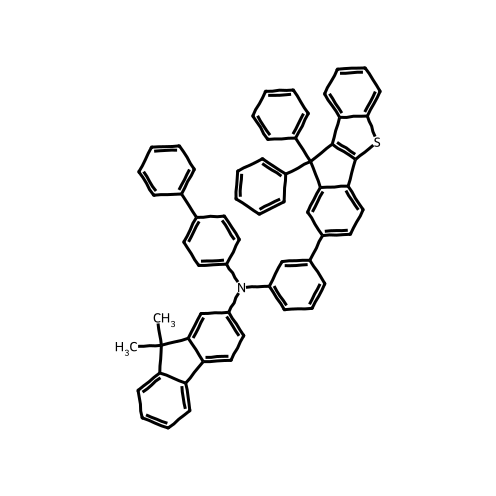 CC1(C)c2ccccc2-c2ccc(N(c3ccc(-c4ccccc4)cc3)c3cccc(-c4ccc5c(c4)C(c4ccccc4)(c4ccccc4)c4c-5sc5ccccc45)c3)cc21